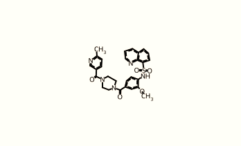 COc1cc(C(=O)N2CCN(C(=O)c3ccc(C)nc3)CC2)ccc1NS(=O)(=O)c1cccc2cccnc12